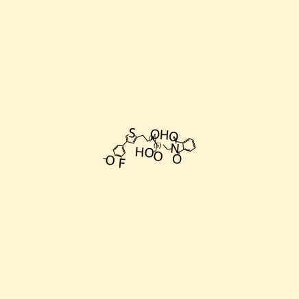 COc1ccc(-c2csc(CC[C@@H](O)[C@H](CCN3C(=O)c4ccccc4C3=O)C(=O)O)c2)cc1F